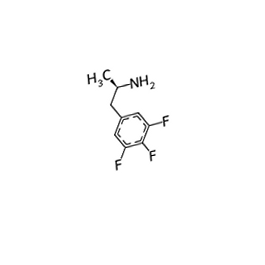 C[C@@H](N)Cc1cc(F)c(F)c(F)c1